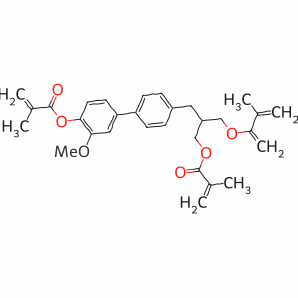 C=C(C)C(=C)OCC(COC(=O)C(=C)C)Cc1ccc(-c2ccc(OC(=O)C(=C)C)c(OC)c2)cc1